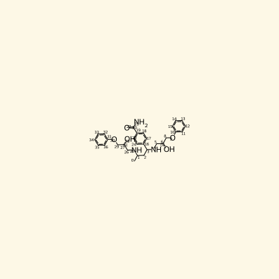 CC(CC(NC[C@H](O)COc1ccccc1)c1ccc(C(N)=O)cc1)NC[C@H](O)COc1ccccc1